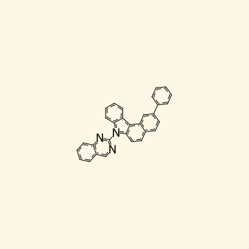 c1ccc(-c2ccc3ccc4c(c3c2)c2ccccc2n4-c2ncc3ccccc3n2)cc1